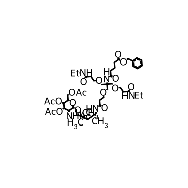 CCNC(=O)CCOCC(COCCC(=O)NCC)(COCCC(=O)NCC(C)(C)CC(C)(C)COC1OC(COC(C)=O)C(OC(C)=O)C(OC(C)=O)C1NC(C)=O)NC(=O)CCCC(=O)OCc1ccccc1